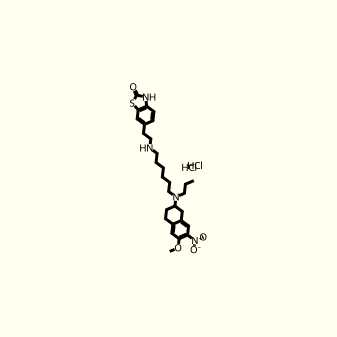 CCCN(CCCCCCNCCc1ccc2[nH]c(=O)sc2c1)C1CCc2cc(OC)c([N+](=O)[O-])cc2C1.Cl.Cl